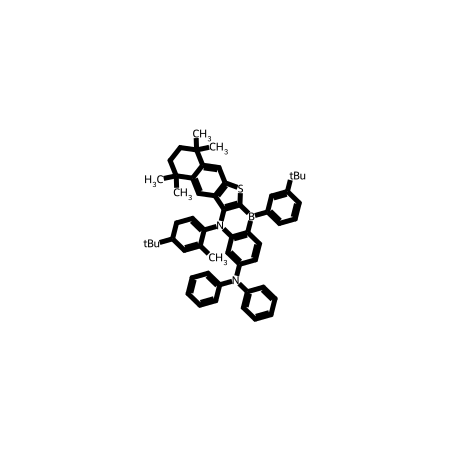 CC1=CC(C(C)(C)C)CC=C1N1c2cc(N(c3ccccc3)c3ccccc3)ccc2B(c2cccc(C(C)(C)C)c2)c2sc3cc4c(cc3c21)C(C)(C)CCC4(C)C